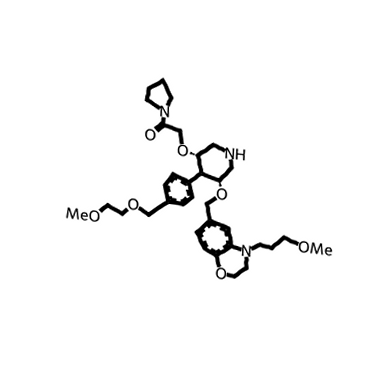 COCCCN1CCOc2ccc(CO[C@H]3CNC[C@@H](OCC(=O)N4CCCC4)C3c3ccc(COCCOC)cc3)cc21